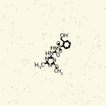 COc1nc(C)nc(NC(=O)NS(=O)(=O)c2ccccc2CO)n1